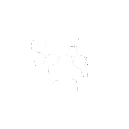 COc1cc(-c2cn(C)c3cnc(NC(C)=O)cc23)nc2c1COC21CCCOC1